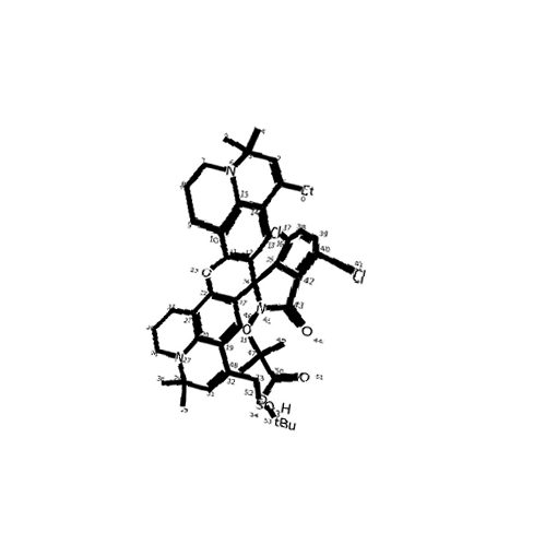 CCC1=CC(C)(C)N2CCCc3c4c(cc1c32)C1(c2cc3c5c(c2O4)CCCN5C(C)(C)C=C3CS(=O)(=O)O)c2c(Cl)ccc(Cl)c2C(=O)N1OC(C)(C)C(=O)OC(C)(C)C